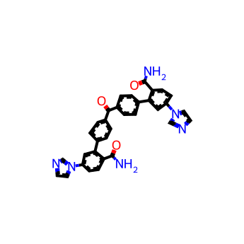 NC(=O)c1ccc(-n2ccnc2)cc1-c1ccc(C(=O)c2ccc(-c3cc(-n4ccnc4)ccc3C(N)=O)cc2)cc1